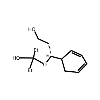 CCC(O)(CC)O[C@H](CCO)C1C=CC=CC1